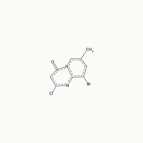 Cc1cc(Br)c2nc(Cl)cc(=O)n2c1